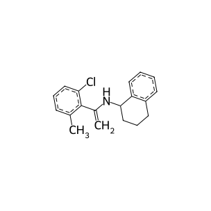 C=C(NC1CCCc2ccccc21)c1c(C)cccc1Cl